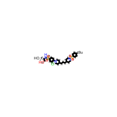 CC(C)(C)c1ccc(S(=O)(=O)N2CCC(CCCC3CCN(c4ccc(S(=O)(=O)NC(CO)C(=O)O)cc4Cl)CC3)CC2)cc1